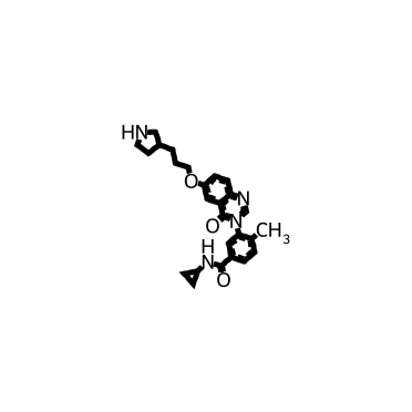 Cc1ccc(C(=O)NC2CC2)cc1-n1cnc2ccc(OCCCC3CCNC3)cc2c1=O